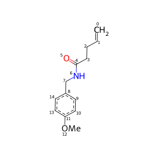 C=CCCC(=O)NCc1ccc(OC)cc1